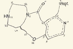 CCCCCCCc1nccc2c1C(=O)N1CCNCC1CO2